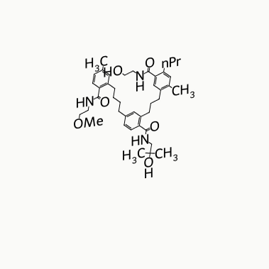 CCCc1cc(C)c(CCCc2cc(CCCCc3cc(C)ccc3C(=O)NCCOC)ccc2C(=O)NCC(C)(C)O)cc1C(=O)NCCO